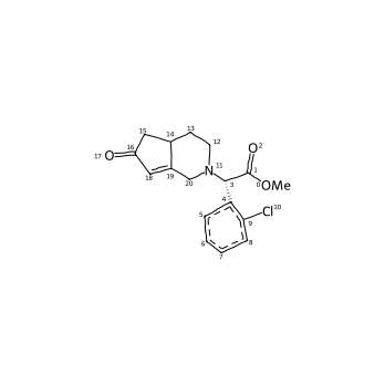 COC(=O)[C@H](c1ccccc1Cl)N1CCC2CC(=O)C=C2C1